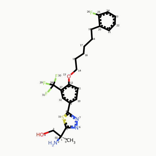 C[C@](N)(CO)c1nnc(-c2ccc(OCCCCCCc3ccccc3F)c(C(F)(F)F)c2)s1